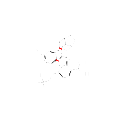 COc1cc(N2CC3CCC(C2)C3Nc2nc3c(C(C)C)ccc(OCC(F)(F)F)n3n2)ccn1